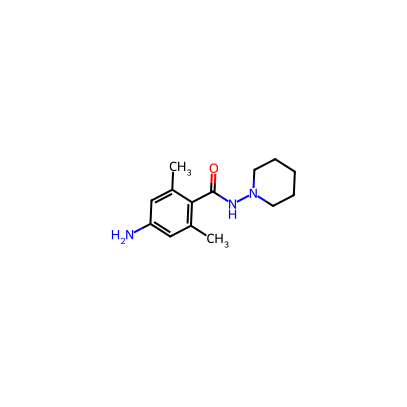 Cc1cc(N)cc(C)c1C(=O)NN1CCCCC1